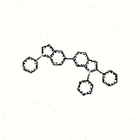 c1ccc(-c2cc3ccc(-c4ccc5c(ccn5-c5ccccc5)c4)cc3n2-c2ccccc2)cc1